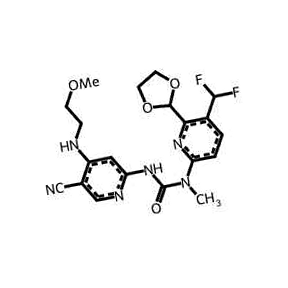 COCCNc1cc(NC(=O)N(C)c2ccc(C(F)F)c(C3OCCO3)n2)ncc1C#N